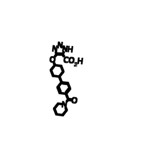 O=C(O)c1[nH]nnc1OC1CCC(c2ccc(C(=O)N3CCCCC3)cc2)CC1